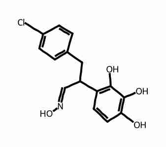 ON=CC(Cc1ccc(Cl)cc1)c1ccc(O)c(O)c1O